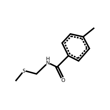 CSCNC(=O)c1ccc(C)cc1